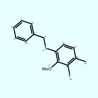 COc1c(SCc2ccccc2)ccc(C)c1F